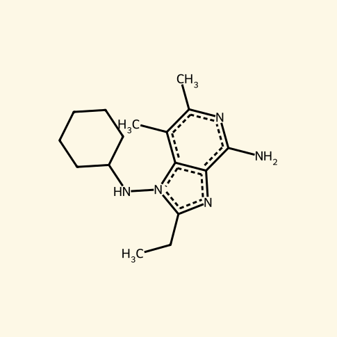 CCc1nc2c(N)nc(C)c(C)c2n1NC1CCCCC1